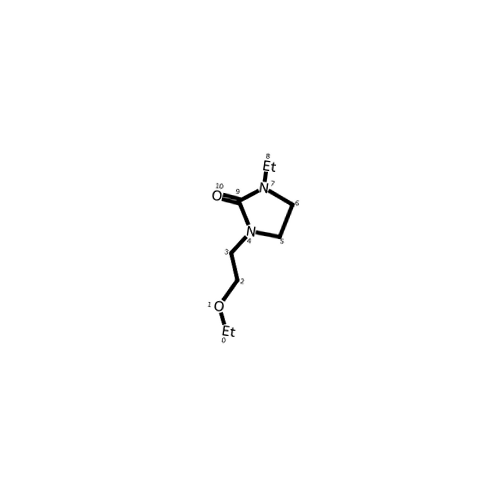 CCOCCN1CCN(CC)C1=O